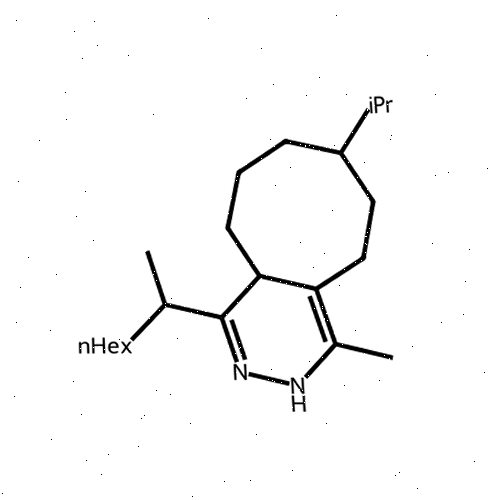 CCCCCCC(C)C1=NNC(C)=C2CCC(C(C)C)CCCC12